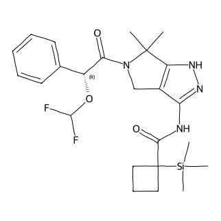 CC1(C)c2[nH]nc(NC(=O)C3([Si](C)(C)C)CCC3)c2CN1C(=O)[C@H](OC(F)F)c1ccccc1